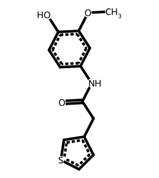 COc1cc(NC(=O)Cc2ccsc2)ccc1O